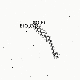 CCOC(=O)[C@@H]1OC(c2ccc(-c3ccc(C4CCC(CCCCCC/C=C/c5ccccc5)CC4)cc3)cc2)O[C@H]1C(=O)OCC